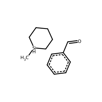 C[SiH]1CCCCC1.O=Cc1ccccc1